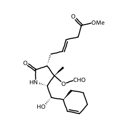 COC(=O)C/C=C/C[C@H]1C(=O)N[C@@H]([C@@H](O)[C@@H]2C=CCCC2)[C@@]1(C)OC=O